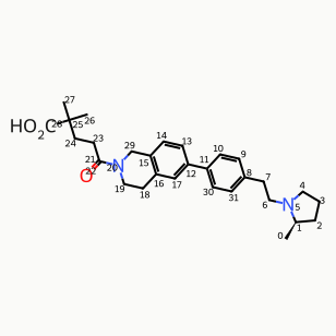 C[C@@H]1CCCN1CCc1ccc(-c2ccc3c(c2)CCN(C(=O)CCC(C)(C)C(=O)O)C3)cc1